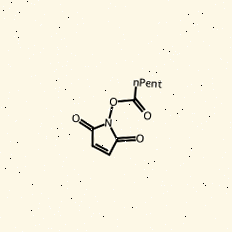 CCCCCC(=O)ON1C(=O)C=CC1=O